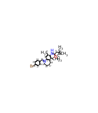 Cc1cc2c(c(C)c1NC(=O)CC(C)(C)C)CCCCN2Cc1ccc(Br)cc1